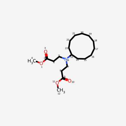 COC(=O)CCN(CCC(=O)OC)C1CCCCCCCCCC1